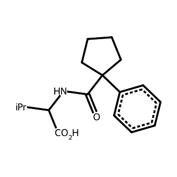 CC(C)C(NC(=O)C1(c2ccccc2)CCCC1)C(=O)O